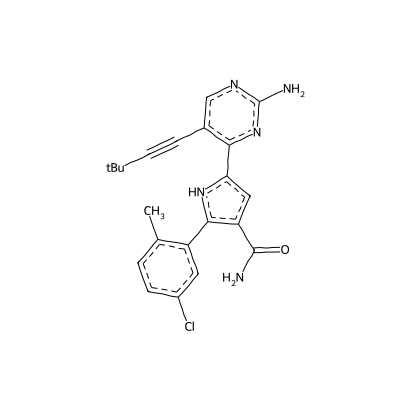 Cc1ccc(Cl)cc1-c1[nH]c(-c2nc(N)ncc2C#CC(C)(C)C)cc1C(N)=O